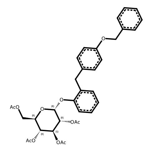 CC(=O)OC[C@H]1O[C@H](Oc2ccccc2Cc2ccc(OCc3ccccc3)cc2)[C@H](OC(C)=O)[C@@H](OC(C)=O)[C@@H]1OC(C)=O